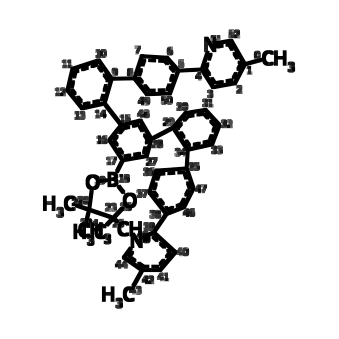 Cc1ccc(-c2ccc(-c3ccccc3-c3cc(B4OC(C)(C)C(C)(C)O4)cc(-c4ccccc4-c4ccc(-c5ccc(C)cn5)cc4)c3)cc2)nc1